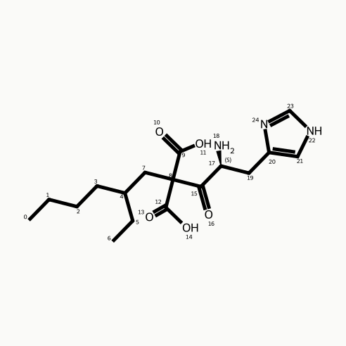 CCCCC(CC)CC(C(=O)O)(C(=O)O)C(=O)[C@@H](N)Cc1c[nH]cn1